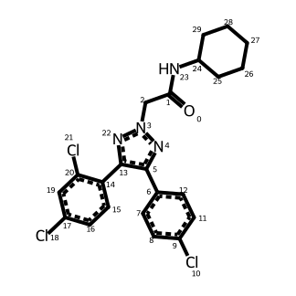 O=C(Cn1nc(-c2ccc(Cl)cc2)c(-c2ccc(Cl)cc2Cl)n1)NC1CCCCC1